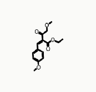 CCOC(=O)C(=Cc1ccc(OC)cc1)C(=O)COC